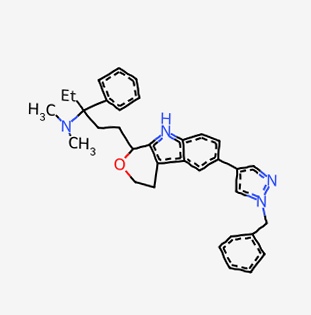 CCC(CCC1OCCc2c1[nH]c1ccc(-c3cnn(Cc4ccccc4)c3)cc21)(c1ccccc1)N(C)C